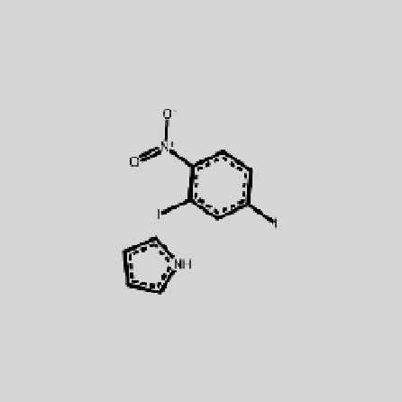 O=[N+]([O-])c1ccc(I)cc1I.c1cc[nH]c1